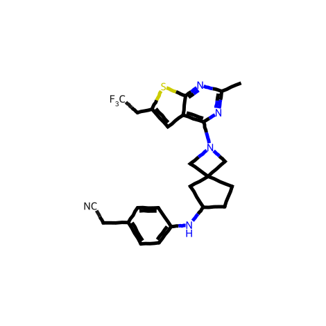 Cc1nc(N2CC3(CCC(Nc4ccc(CC#N)cc4)C3)C2)c2cc(CC(F)(F)F)sc2n1